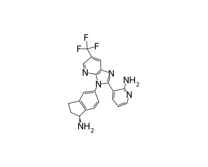 Nc1ncccc1-c1nc2cc(C(F)(F)F)cnc2n1-c1ccc2c(c1)CC[C@@H]2N